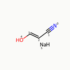 N#CC=CO.[NaH]